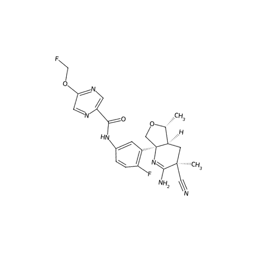 C[C@H]1OC[C@]2(c3cc(NC(=O)c4cnc(OCF)cn4)ccc3F)N=C(N)[C@](C)(C#N)C[C@H]12